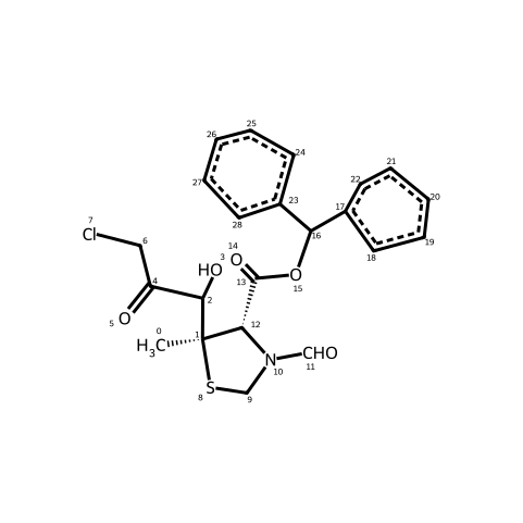 C[C@@]1(C(O)C(=O)CCl)SCN(C=O)[C@H]1C(=O)OC(c1ccccc1)c1ccccc1